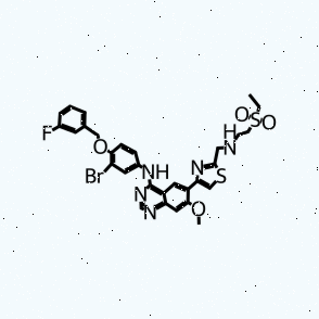 CCS(=O)(=O)CCNCc1nc(-c2cc3c(Nc4ccc(OCc5cccc(F)c5)c(Br)c4)ncnc3cc2OC)cs1